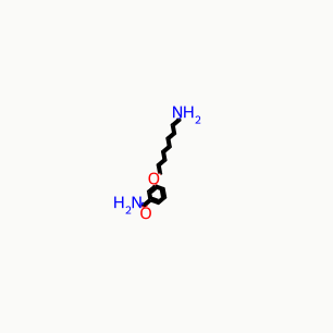 NCCCCCCCCCOc1cccc(C(N)=O)c1